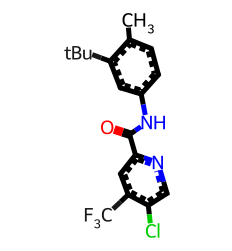 Cc1ccc(NC(=O)c2cc(C(F)(F)F)c(Cl)cn2)cc1C(C)(C)C